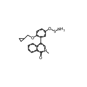 Cn1cc(-c2cc(OSN)ccc2OCC2CC2)c2ccccc2c1=O